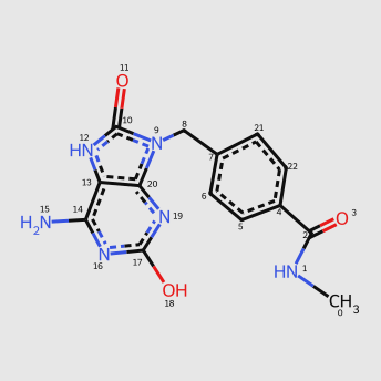 CNC(=O)c1ccc(Cn2c(=O)[nH]c3c(N)nc(O)nc32)cc1